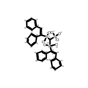 Cl[Si](Cl)(Cl)C([Si](Cl)(Cl)/C(=C/c1ccccc1)c1ccccc1)[Si](Cl)(Cl)/C(=C/c1ccccc1)c1ccccc1